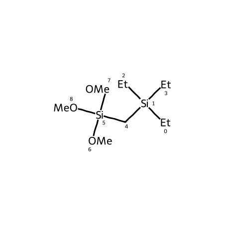 CC[Si](CC)(CC)C[Si](OC)(OC)OC